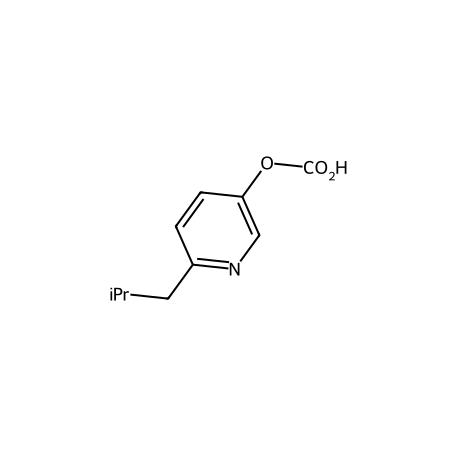 CC(C)Cc1ccc(OC(=O)O)cn1